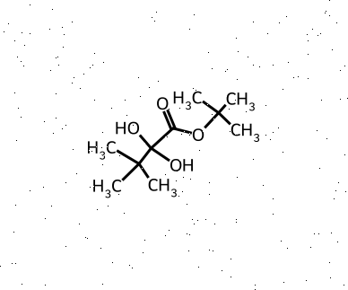 CC(C)(C)OC(=O)C(O)(O)C(C)(C)C